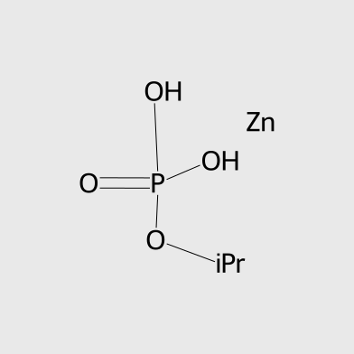 CC(C)OP(=O)(O)O.[Zn]